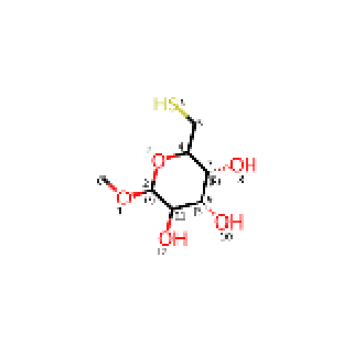 CO[C@H]1OC(CS)[C@H](O)[C@H](O)C1O